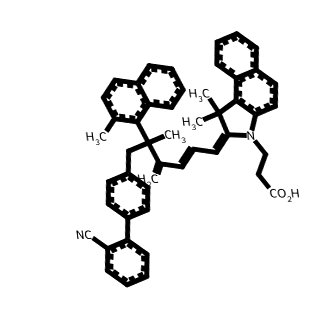 C=C(/C=C/C=C1/N(CCC(=O)O)c2ccc3ccccc3c2C1(C)C)C(C)(Cc1ccc(-c2ccccc2C#N)cc1)c1c(C)ccc2ccccc12